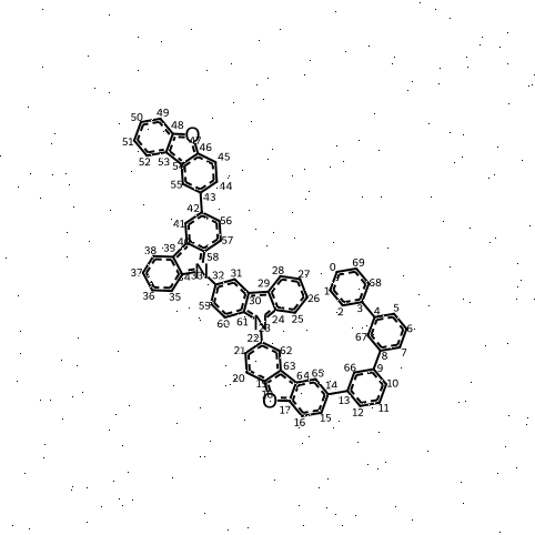 c1ccc(-c2cccc(-c3cccc(-c4ccc5oc6ccc(-n7c8ccccc8c8cc(-n9c%10ccccc%10c%10cc(-c%11ccc%12oc%13ccccc%13c%12c%11)ccc%109)ccc87)cc6c5c4)c3)c2)cc1